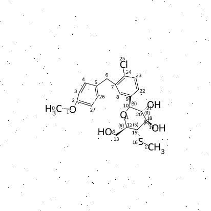 COc1ccc(Cc2cc([C@@H]3O[C@H](CO)[C@@H](SC)[C@H](O)[C@H]3O)ccc2Cl)cc1